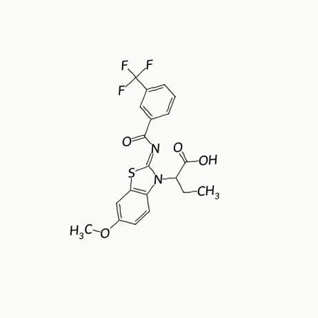 CCC(C(=O)O)n1/c(=N/C(=O)c2cccc(C(F)(F)F)c2)sc2cc(OC)ccc21